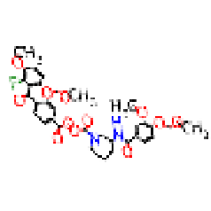 COCOc1ccc(C(=O)NC2CCCCN(C(=O)OOC(=O)c3ccc(C(=O)c4c(OCOC)ccc(OC)c4F)cc3)C2)cc1OC